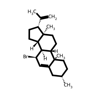 C=C(C)[C@H]1CC[C@H]2[C@@H]3[C@H](Br)C=C4C[C@@H](C)CC[C@]4(C)[C@H]3CC[C@]12C